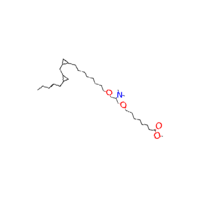 CCCCCC1CC1CC1CC1CCCCCCCCOCC(COCCCCCCCC(=O)OC)N(C)C